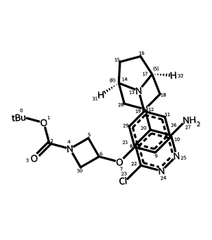 CC(C)(C)OC(=O)N1CC(Oc2cccc(N3[C@@H]4CC[C@H]3CN(c3cc(Cl)nnc3N)C4)c2)C1